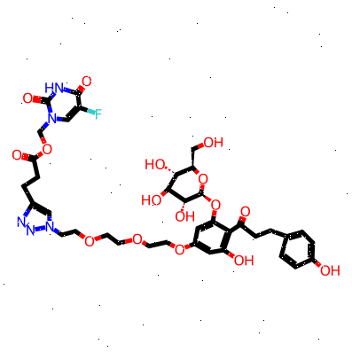 O=C(CCc1cn(CCOCCOCCOc2cc(O)c(C(=O)CCc3ccc(O)cc3)c(O[C@@H]3O[C@H](CO)[C@@H](O)C(O)[C@H]3O)c2)nn1)OCn1cc(F)c(=O)[nH]c1=O